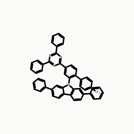 FC(F)(F)c1ccc(-c2ccc(-c3nc(-c4ccccc4)nc(-c4ccccc4)n3)cc2-n2c3cc(-c4ccccc4)ccc3c3ccc(-c4ccccc4)cc32)cc1